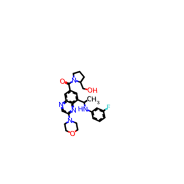 CC(Nc1cccc(F)c1)c1cc(C(=O)N2CCCC2CO)cc2ncc(N3CCOCC3)nc12